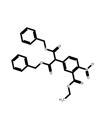 CCOC(=O)c1cc(C(C(=O)OCc2ccccc2)C(=O)OCc2ccccc2)ccc1[N+](=O)[O-]